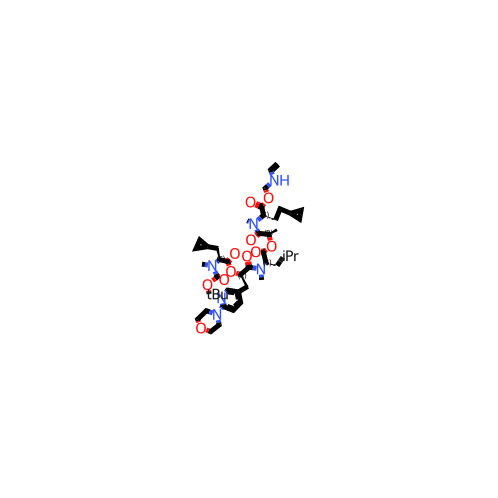 C=CNCOC(=O)[C@H](CCC1CC1)N(C)C(=O)[C@@H](C)OC(=O)[C@H](CC(C)C)N(C)C(=O)[C@@H](Cc1ccc(N2CCOCC2)nc1)OC(=O)[C@H](CC1CC1)N(C)C(=O)OC(C)(C)C